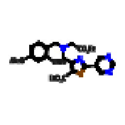 CCOC(=O)CN(Cc1ccc(OC)cc1OC)Cc1nc(-c2cncnc2)sc1C(=O)OCC